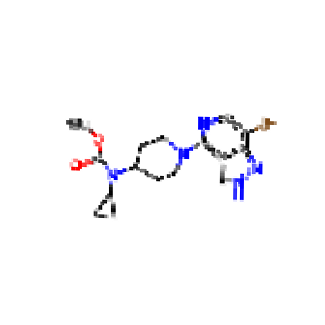 CC(C)(C)OC(=O)N(C1CC1)C1CCN(c2ncc(Br)c3n[nH]cc23)CC1